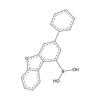 OB(O)c1cc(-c2ccccc2)cc2oc3ccccc3c12